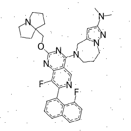 CN(C)c1cc2n(n1)CCCN(c1nc(OCC34CCCN3CCC4)nc3c(F)c(-c4cccc5cccc(F)c45)ncc13)C2